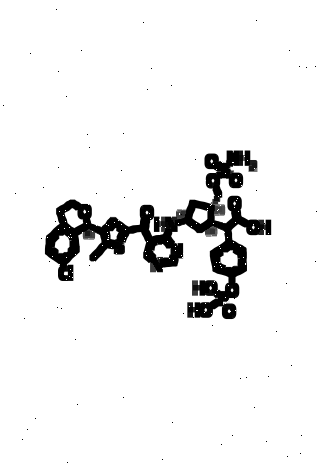 Cc1sc(C(=O)c2cncnc2N[C@H]2C[C@H](COS(N)(=O)=O)[C@@H](C(C(=O)O)c3ccc(OP(=O)(O)O)cc3)C2)cc1[C@@H]1OCCc2ccc(Cl)cc21